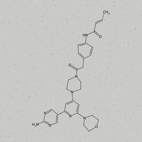 C/C=C/C(=O)Nc1ccc(CC(=O)N2CCN(c3cc(-c4cnc(N)nc4)nc(N4CCOCC4)c3)CC2)cc1